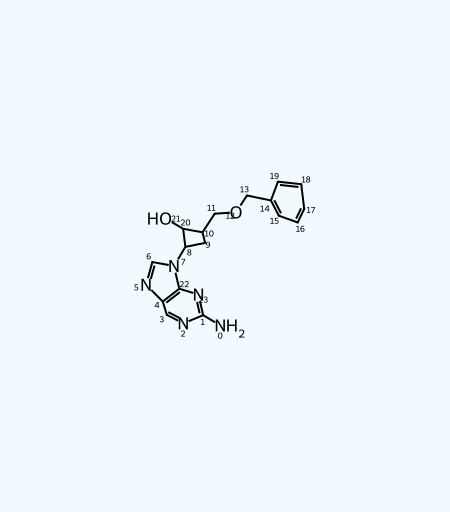 Nc1ncc2ncn(C3CC(COCc4ccccc4)C3O)c2n1